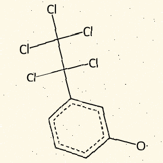 [O]c1cccc(C(Cl)(Cl)C(Cl)(Cl)Cl)c1